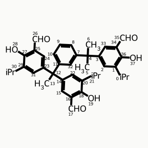 CC(C)c1cc(C(C)(C)c2cccc(C(C)(c3cc(C=O)c(O)c(C(C)C)c3)c3cc(C=O)c(O)c(C(C)C)c3)c2)cc(C=O)c1O